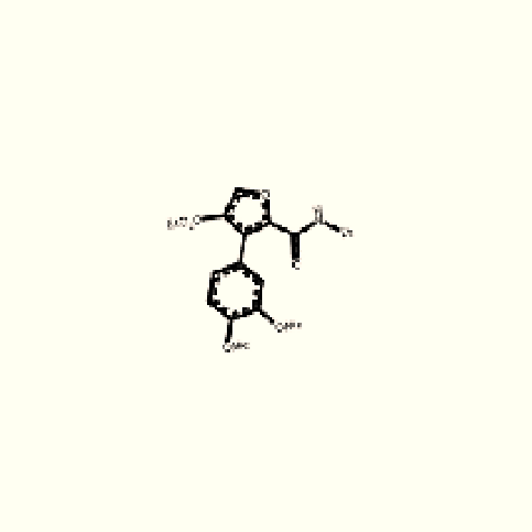 CCNC(=O)c1occ(C(=O)OCC)c1-c1ccc(OC)c(OC)c1